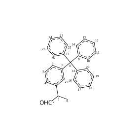 CC(C=O)c1cccc(C(c2ccccc2)(c2ccccc2)c2ccccc2)c1